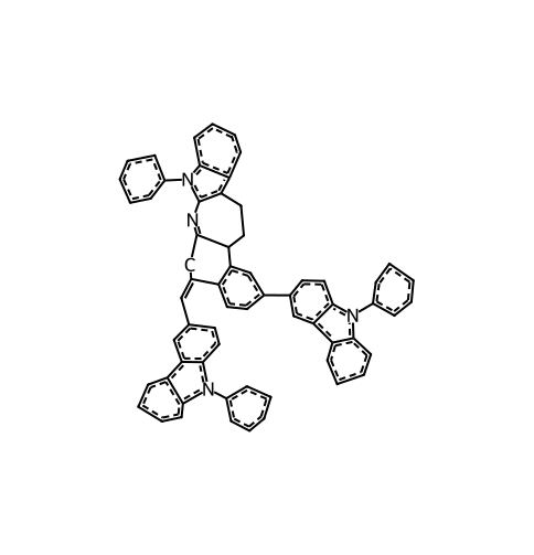 C(=C1\CC2=Nc3c(c4ccccc4n3-c3ccccc3)CCC2c2cc(-c3ccc4c(c3)c3ccccc3n4-c3ccccc3)ccc21)/c1ccc2c(c1)c1ccccc1n2-c1ccccc1